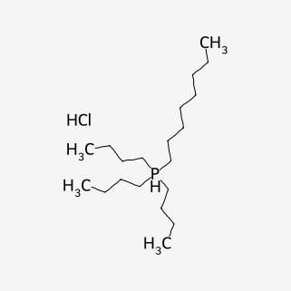 CCCCCCCC[PH](CCCC)(CCCC)CCCC.Cl